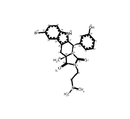 CN(C)CCN1C(=O)N2[C@H](c3cccc(O)c3)c3[nH]c4ccc(Br)cc4c3C[C@@]2(C)C1=O